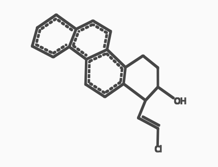 OC1CCc2c(ccc3c2ccc2ccccc23)C1C=CCl